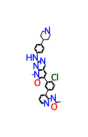 CC(=O)N(C)c1ncccc1-c1ccc(Cl)c(-c2cc3cnc(Nc4ccc(C5CCN(C)CC5)cc4)nc3n(C)c2=O)c1